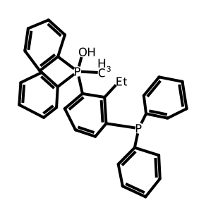 CCc1c(P(c2ccccc2)c2ccccc2)cccc1P(C)(O)(c1ccccc1)c1ccccc1